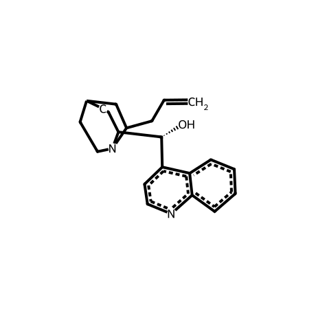 C=CCC1CC2CCC([C@H](O)c3ccnc4ccccc34)N1CC2